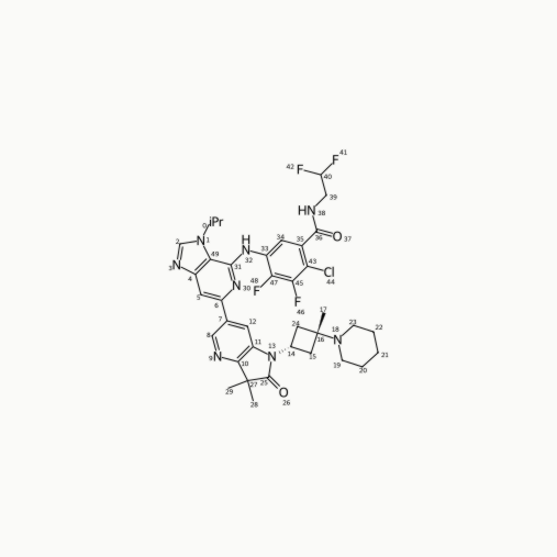 CC(C)n1cnc2cc(-c3cnc4c(c3)N([C@H]3C[C@@](C)(N5CCCCC5)C3)C(=O)C4(C)C)nc(Nc3cc(C(=O)NCC(F)F)c(Cl)c(F)c3F)c21